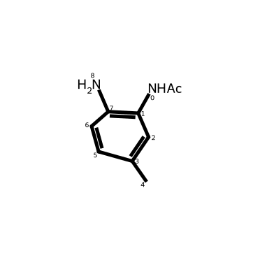 CC(=O)Nc1cc(C)ccc1N